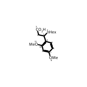 CCCCCCC(CC(=O)O)c1ccc(OC)cc1OC